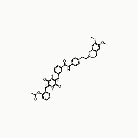 COc1cc2c(cc1OC)CN(CCc1ccc(NC(=O)c3cccc(/C=c4\[nH]c(=O)/c(=C/c5ccccc5OC(C)=O)n(C)c4=O)c3)cc1)CC2